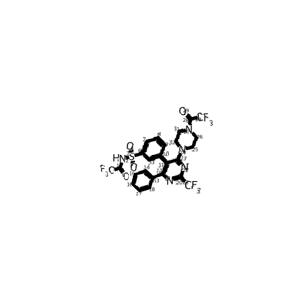 O=C(NS(=O)(=O)c1cccc(-c2c(-c3ccccc3)nc(C(F)(F)F)nc2N2CCN(C(=O)C(F)(F)F)CC2)c1)C(F)(F)F